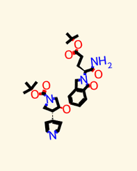 CC(C)(C)OC(=O)CC[C@@H](C(N)=O)N1Cc2cc(O[C@@H]3CN(C(=O)OC(C)(C)C)C[C@H]3c3ccncc3)ccc2C1=O